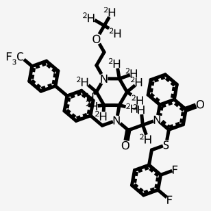 [2H]C([2H])([2H])OCCN1C([2H])([2H])C([2H])([2H])C([2H])(N(Cc2ccc(-c3ccc(C(F)(F)F)cc3)cc2)C(=O)C([2H])([2H])n2c(SCc3cccc(F)c3F)cc(=O)c3ccccc32)C([2H])([2H])C1([2H])[2H]